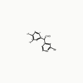 O=CC(c1ccnc(Br)c1)c1ccc(F)c(F)c1